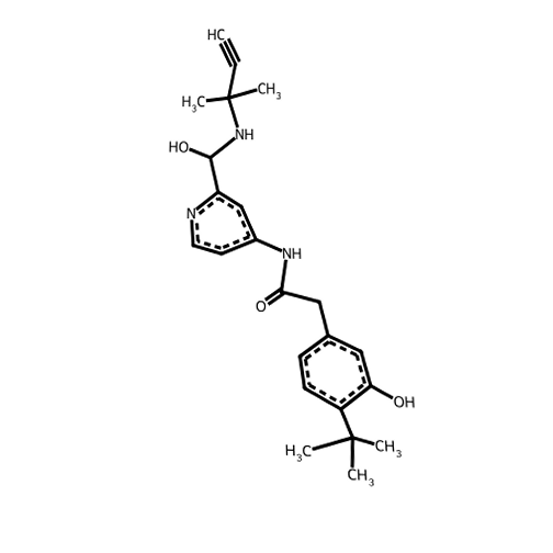 C#CC(C)(C)NC(O)c1cc(NC(=O)Cc2ccc(C(C)(C)C)c(O)c2)ccn1